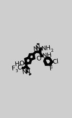 Cn1cc(C2(O)CC3CC(c4nn(C)c(N)c4C(=O)Nc4ccc(F)c(Cl)c4)CC3C2)c(C(F)(F)F)n1